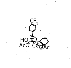 CC(=O)OCC(C(=O)O)(C(=O)O)C(COC(C)=O)(CC(=O)c1ccc(C(F)(F)F)cc1)c1ccccc1